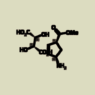 COC(=O)[C@@H]1C=C[C@H](N)C1.O=C(O)[C@H](O)[C@@H](O)C(=O)O